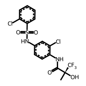 C[C@@](O)(C(=O)Nc1ccc(NS(=O)(=O)c2ccccc2Cl)cc1Cl)C(F)(F)F